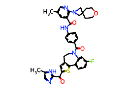 Cc1cnc(N2CC3(CCOCC3)C2)c(C(=O)Nc2ccc(C(=O)N3CCc4cc(C(=O)c5ncc(C)[nH]5)sc4-c4ccc(F)cc43)cc2)c1